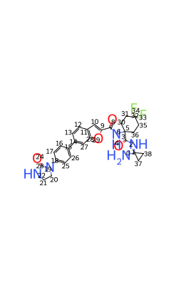 NC1(NC(=O)C2(NC(=O)c3cc4ccc(-c5ccc(N6CCNC6=O)cc5)cc4o3)CCC(F)(F)CC2)CC1